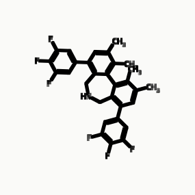 Cc1cc(-c2cc(F)c(F)c(F)c2)c2c(c1C)-c1c(C)c(C)cc(-c3cc(F)c(F)c(F)c3)c1CNC2